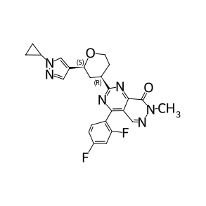 Cn1ncc2c(-c3ccc(F)cc3F)nc([C@@H]3CCO[C@H](c4cnn(C5CC5)c4)C3)nc2c1=O